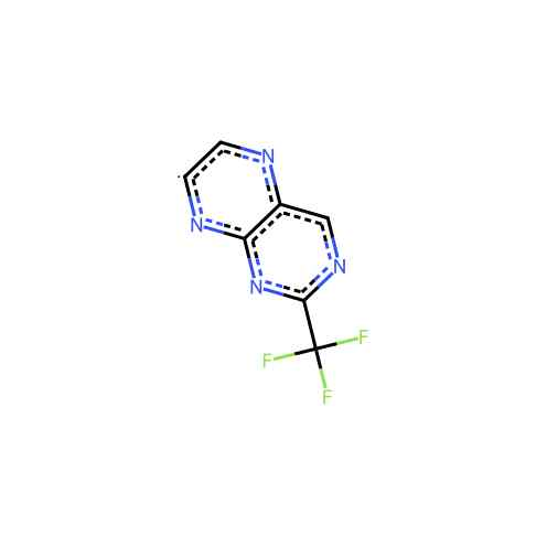 FC(F)(F)c1ncc2nc[c]nc2n1